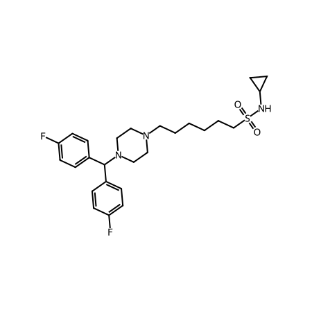 O=S(=O)(CCCCCCN1CCN(C(c2ccc(F)cc2)c2ccc(F)cc2)CC1)NC1CC1